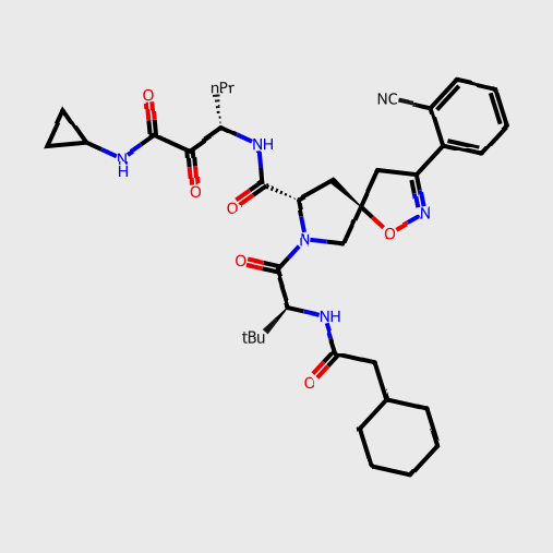 CCC[C@H](NC(=O)[C@@H]1C[C@]2(CC(c3ccccc3C#N)=NO2)CN1C(=O)[C@@H](NC(=O)CC1CCCCC1)C(C)(C)C)C(=O)C(=O)NC1CC1